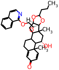 CCCC1O[C@@H]2CC3C4CCC5=CC(=O)C=CC5(C)C4[C@@H](O)CC3(C)[C@]2(C(=O)COc2nccc3ccccc23)O1